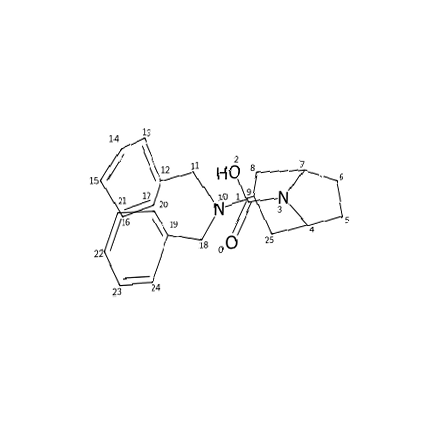 O=C(O)N1C2CCC1CC(N(Cc1ccccc1)Cc1ccccc1)C2